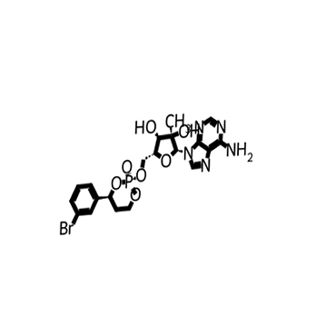 C[C@@]1(O)[C@H](O)[C@@H](CO[P@@]2(=O)OCC[C@@H](c3cccc(Br)c3)O2)O[C@H]1n1cnc2c(N)ncnc21